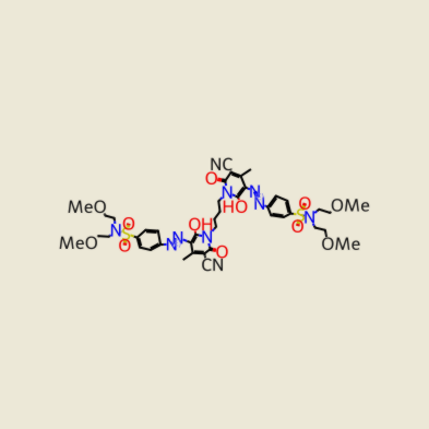 COCCN(CCOC)S(=O)(=O)c1ccc(/N=N/c2c(C)c(C#N)c(=O)n(CCCCn3c(O)c(/N=N/c4ccc(S(=O)(=O)N(CCOC)CCOC)cc4)c(C)c(C#N)c3=O)c2O)cc1